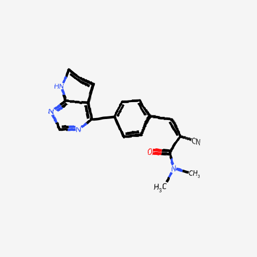 CN(C)C(=O)C(C#N)=Cc1ccc(-c2ncnc3[nH]ccc23)cc1